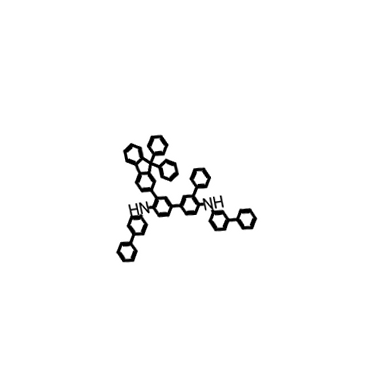 c1ccc(-c2ccc(Nc3ccc(-c4ccc(Nc5cccc(-c6ccccc6)c5)c(-c5ccccc5)c4)cc3-c3ccc4c(c3)C(c3ccccc3)(c3ccccc3)c3ccccc3-4)cc2)cc1